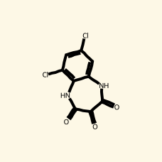 O=c1[nH]c2cc(Cl)cc(Cl)c2[nH]c(=O)c1=O